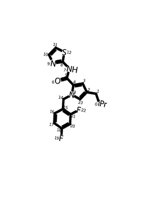 CC(C)Cc1cc(C(=O)Nc2nccs2)n(Cc2ccc(F)cc2F)c1